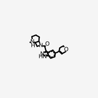 CN1CCCC2[C@H]1CN2C(=O)c1n[nH]c2ccc(C3=CCOCC3)cc12